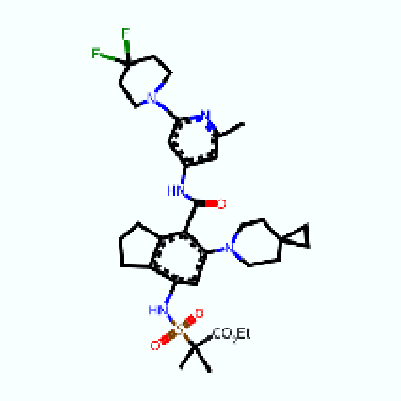 CCOC(=O)C(C)(C)S(=O)(=O)Nc1cc(N2CCC3(CC2)CC3)c(C(=O)Nc2cc(C)nc(N3CCC(F)(F)CC3)c2)c2c1CCC2